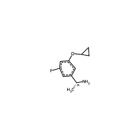 C[C@@H](N)c1cc(F)cc(OC2CC2)c1